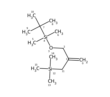 C=C(CO[Si](C)(C)C(C)(C)C)C[Si](C)(C)C